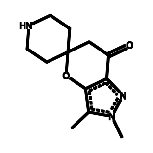 Cc1c2c(nn1C)C(=O)CC1(CCNCC1)O2